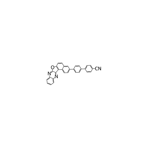 N#Cc1ccc(-c2ccc(-c3ccc4c(ccc5oc6nc7ccccc7nc6c54)c3)cc2)cc1